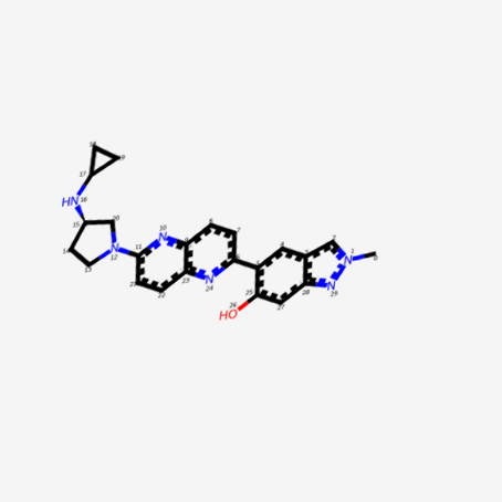 Cn1cc2cc(-c3ccc4nc(N5CC[C@@H](NC6CC6)C5)ccc4n3)c(O)cc2n1